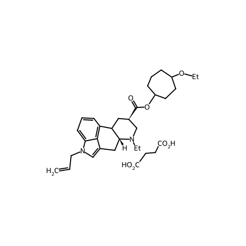 C=CCn1cc2c3c(cccc31)C1C[C@@H](C(=O)OC3CCCC(OCC)CC3)CN(CC)[C@@H]1C2.O=C(O)CCC(=O)O